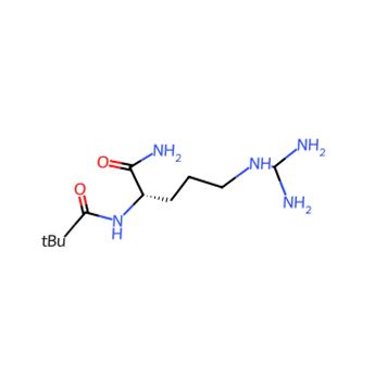 CC(C)(C)C(=O)N[C@@H](CCCNC(N)N)C(N)=O